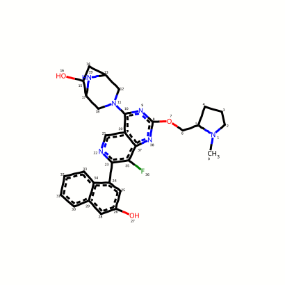 CN1CCCC1COc1nc(N2CC3CC(O)C(C2)N3)c2cnc(-c3cc(O)cc4ccccc34)c(F)c2n1